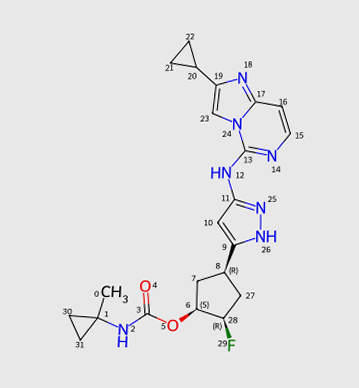 CC1(NC(=O)O[C@H]2C[C@@H](c3cc(Nc4nccc5nc(C6CC6)cn45)n[nH]3)C[C@H]2F)CC1